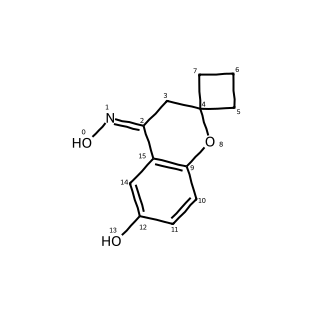 O/N=C1/CC2(CCC2)Oc2ccc(O)cc21